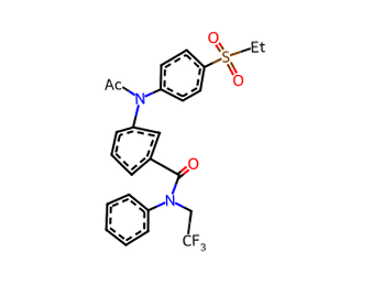 CCS(=O)(=O)c1ccc(N(C(C)=O)c2cccc(C(=O)N(CC(F)(F)F)c3ccccc3)c2)cc1